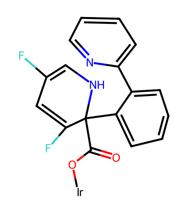 O=C([O][Ir])C1(c2ccccc2-c2ccccn2)NC=C(F)C=C1F